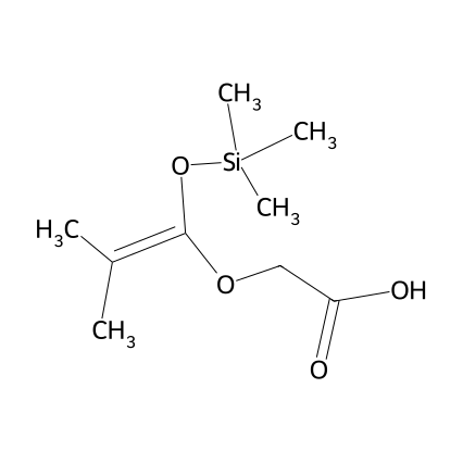 CC(C)=C(OCC(=O)O)O[Si](C)(C)C